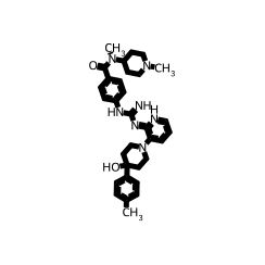 Cc1ccc(C2(O)CCN(c3ccc[nH]/c3=N\C(=N)Nc3ccc(C(=O)N(C)C4CCN(C)CC4)cc3)CC2)cc1